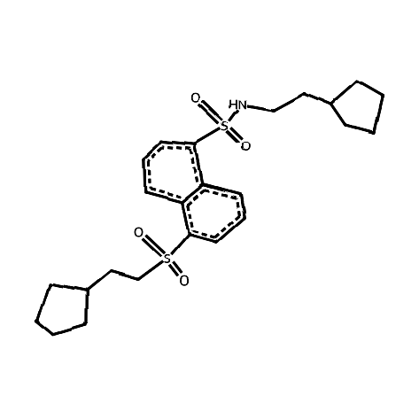 O=S(=O)(CCC1CCCC1)c1cccc2c(S(=O)(=O)NCCC3CCCC3)cccc12